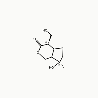 C[C@@]1(O)CCC2C1COC(=O)[C@H]2CO